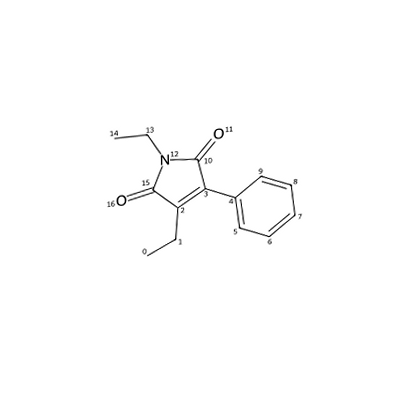 CCC1=C(c2ccccc2)C(=O)N(CC)C1=O